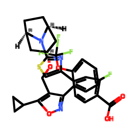 O=C(O)c1ccc(-c2csc(N3[C@@H]4CC[C@H]3C[C@H](OCc3c(-c5ccccc5OC(F)(F)F)noc3C3CC3)C4)n2)cc1F